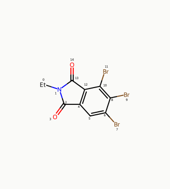 CCN1C(=O)c2cc(Br)c(Br)c(Br)c2C1=O